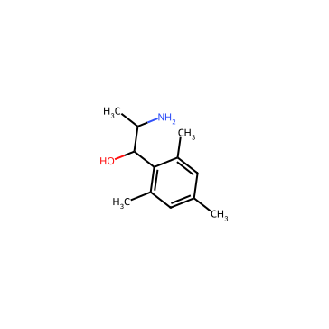 Cc1cc(C)c(C(O)C(C)N)c(C)c1